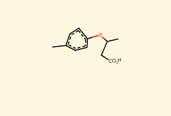 Cc1ccc(OC(C)CC(=O)O)cc1